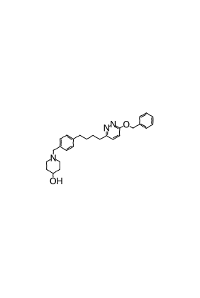 OC1CCN(Cc2ccc(CCCCc3ccc(OCc4ccccc4)nn3)cc2)CC1